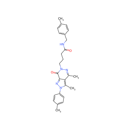 Cc1ccc(CNC(=O)CCCn2nc(C)c3c(C)n(-c4ccc(C)cc4)nc3c2=O)cc1